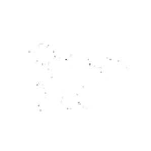 O=C(CCC(F)(F)F)Nc1cc(F)c(Cl)cc1C(=O)N[C@@H](C[C@@H]1CCNC1=O)C(=O)C(=O)NC1CC1